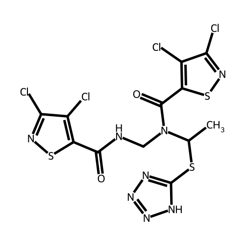 CC(Sc1nnn[nH]1)N(CNC(=O)c1snc(Cl)c1Cl)C(=O)c1snc(Cl)c1Cl